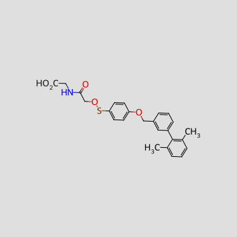 Cc1cccc(C)c1-c1cccc(COc2ccc(SOCC(=O)NCC(=O)O)cc2)c1